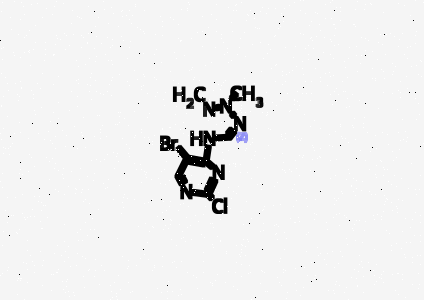 C=NN(C)/N=C\Nc1nc(Cl)ncc1Br